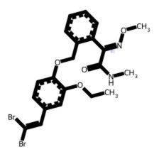 CCOc1cc(C=C(Br)Br)ccc1OCc1ccccc1/C(=N\OC)C(=O)NC